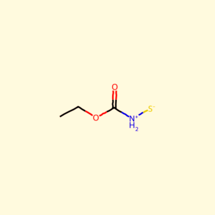 CCOC(=O)[NH2+][S-]